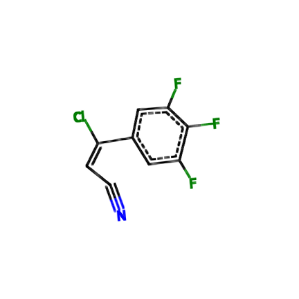 N#C/C=C(/Cl)c1cc(F)c(F)c(F)c1